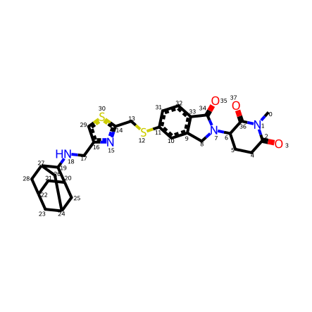 CN1C(=O)CCC(N2Cc3cc(SCc4nc(CNC5C6CC7CC(C6)CC5C7)cs4)ccc3C2=O)C1=O